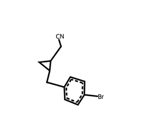 N#CCC1CC1Cc1ccc(Br)cc1